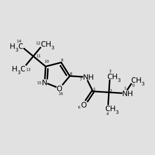 CNC(C)(C)C(=O)Nc1cc(C(C)(C)C)no1